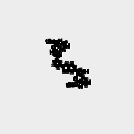 CC(C)(C)OC(=O)N1[C@@H]2C[C@@H]2C[C@H]1c1nc(-c2cccc(-c3ccc4cc(-c5c[nH]c([C@H]6C[C@@H]7C[C@@H]7N6C(=O)OC(C)(C)C)n5)ccc4c3)c2)c[nH]1